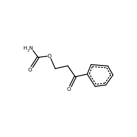 NC(=O)OCCC(=O)c1ccccc1